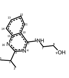 CC(C)c1nc(NCCO)c2ccccc2n1